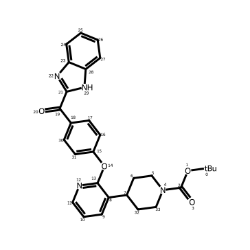 CC(C)(C)OC(=O)N1CCC(c2cccnc2Oc2ccc(C(=O)c3nc4ccccc4[nH]3)cc2)CC1